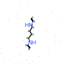 C=CNCCCCNC=C